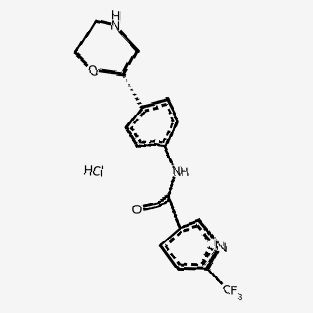 Cl.O=C(Nc1ccc([C@H]2CNCCO2)cc1)c1ccc(C(F)(F)F)nc1